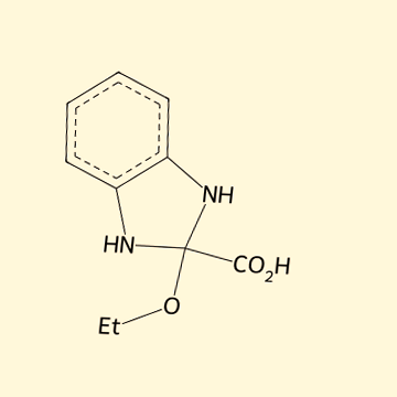 CCOC1(C(=O)O)Nc2ccccc2N1